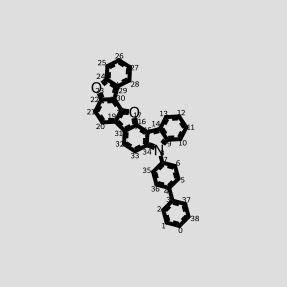 c1ccc(-c2ccc(-n3c4ccccc4c4c5oc6c(ccc7oc8ccccc8c76)c5ccc43)cc2)cc1